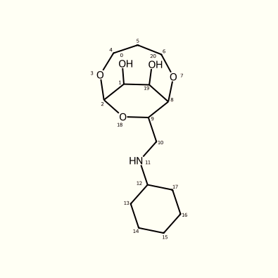 OC1C2OCCCOC(C(CNC3CCCCC3)O2)C1O